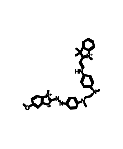 COc1ccc2c(c1)sc(N=Nc1ccc(N(C)CCN(C)c3ccc(NC=CC4=[N+](C)c5ccccc5C4(C)C)cc3)cc1)[n+]2C